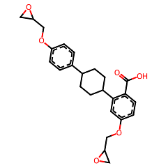 O=C(O)c1ccc(OCC2CO2)cc1C1CCC(c2ccc(OCC3CO3)cc2)CC1